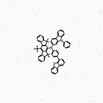 CC(C)(C)c1c2c(c(N(c3ccc(-c4cccc5c4sc4ccccc45)cc3)c3ccc4c5ccccc5n(-c5ccccc5)c4c3)c3c1-c1ccccc1C3(C)C)C(C)(C)c1ccccc1-2